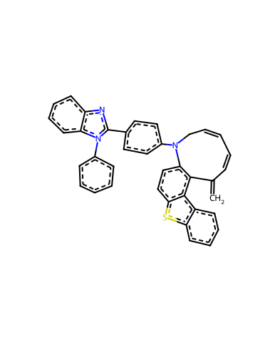 C=C1/C=C\C=C/CN(c2ccc(-c3nc4ccccc4n3-c3ccccc3)cc2)c2ccc3sc4ccccc4c3c21